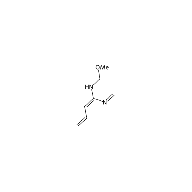 C=C/C=C(\N=C)NCOC